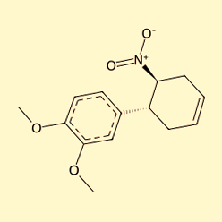 COc1ccc([C@H]2CC=CC[C@@H]2[N+](=O)[O-])cc1OC